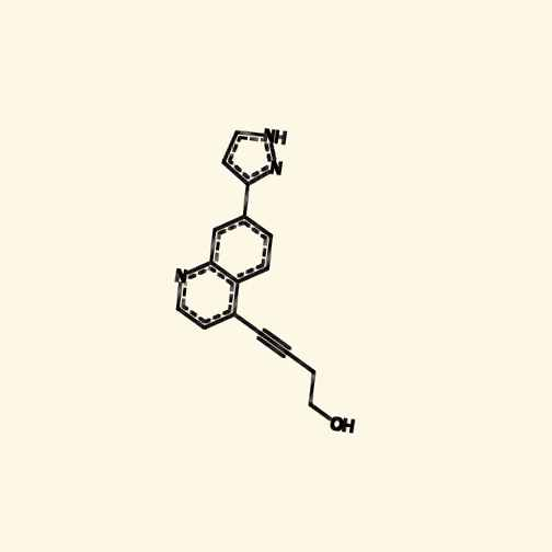 OCCC#Cc1ccnc2cc(-c3cc[nH]n3)ccc12